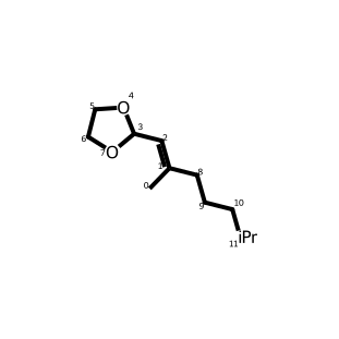 C/C(=C\C1OCCO1)CCCC(C)C